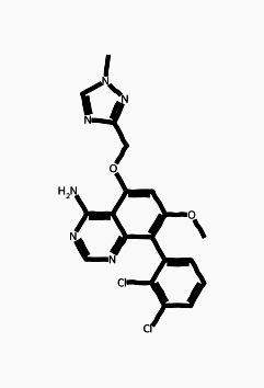 COc1cc(OCc2ncn(C)n2)c2c(N)ncnc2c1-c1cccc(Cl)c1Cl